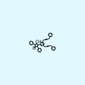 CC1=C(c2ccccc2)C(=O)C(c2ccccc2)=C1c1cc(CC#CCc2ccccc2)cc(CC#CCc2ccccc2)c1